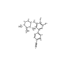 N#Cc1ccc(-c2cc(F)c(F)c(O[C@H]3SC[C@@H](O)[C@H](O)[C@H]3O)c2)cn1